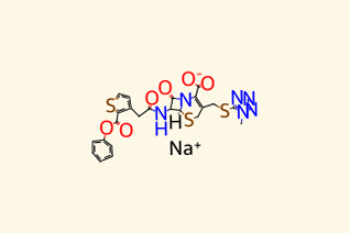 Cn1nnnc1SCC1=C(C(=O)[O-])N2C(=O)C(NC(=O)Cc3ccsc3C(=O)Oc3ccccc3)[C@@H]2SC1.[Na+]